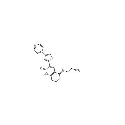 CCCN=C1CCCc2[nH]c(=O)c(-c3nc(-c4ccncc4)cs3)cc21